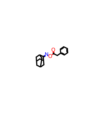 O=C(Cc1ccccc1)ON=C1C2CC3CC(C2)CC1C3